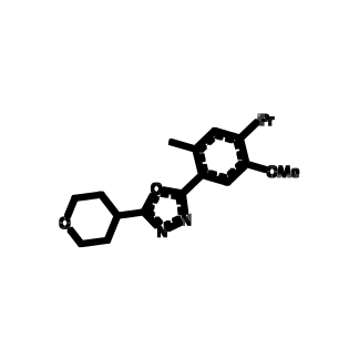 COc1cc(-c2nnc(C3CCOCC3)o2)c(C)cc1C(C)C